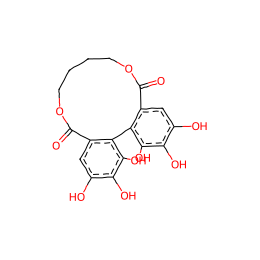 O=C1OCCCCOC(=O)c2cc(O)c(O)c(O)c2-c2c1cc(O)c(O)c2O